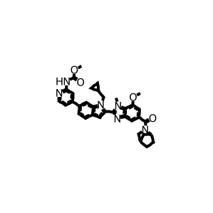 COC(=O)Nc1cc(-c2ccc3cc(-c4nc5cc(C(=O)N6CC7CCC6C7)cc(OC)c5n4C)n(CC4CC4)c3c2)ccn1